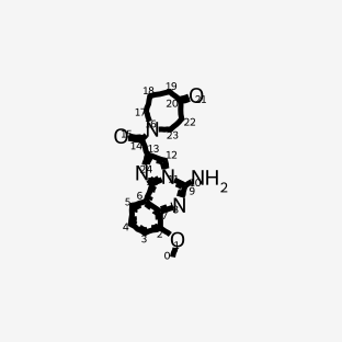 COc1cccc2c1nc(N)n1cc(C(=O)N3CCCC(=O)CC3)nc21